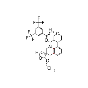 CCOC(=O)[C@]1(C)CCCN(C(O[C@H](C)c2cc(C(F)(F)F)cc(C(F)(F)F)c2)C2COCCC2c2ccccc2)C1